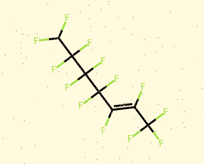 FC(=C(F)C(F)(F)C(F)(F)C(F)(F)C(F)F)C(F)(F)F